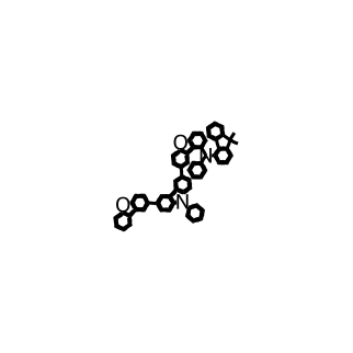 CC1(C)c2ccccc2-c2c(N(c3ccccc3)c3cccc4oc5ccc(-c6ccc7c(c6)c6cc(-c8ccc9oc%10ccccc%10c9c8)ccc6n7-c6ccccc6)cc5c34)cccc21